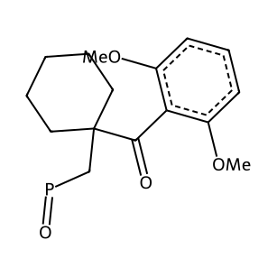 COc1cccc(OC)c1C(=O)C1(CP=O)CCCCC1